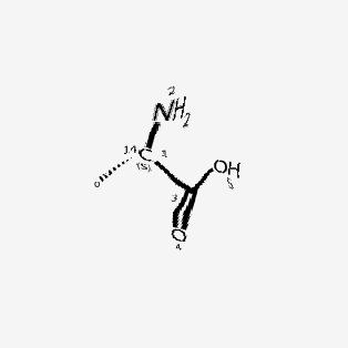 C[14C@H](N)C(=O)O